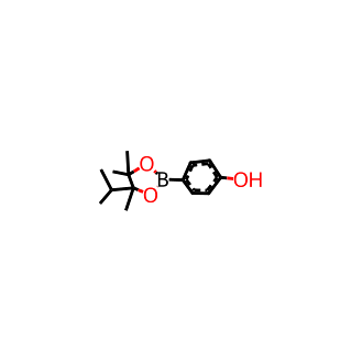 CC(C)C1(C)OB(c2ccc(O)cc2)OC1(C)C